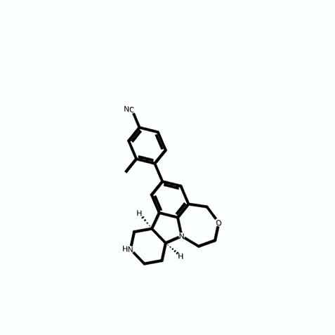 Cc1cc(C#N)ccc1-c1cc2c3c(c1)[C@@H]1CNCC[C@@H]1N3CCOC2